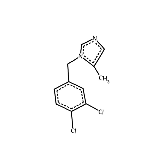 Cc1cncn1Cc1ccc(Cl)c(Cl)c1